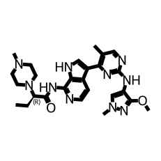 CC[C@H](C(=O)Nc1nccc2c(-c3nc(Nc4cn(C)nc4OC)ncc3C)c[nH]c12)N1CCN(C)CC1